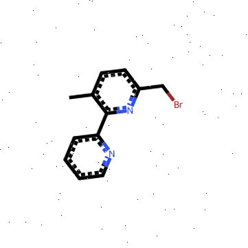 Cc1ccc(CBr)nc1-c1ccccn1